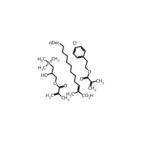 C=C(C)C(=O)OCC(O)C[N+](C)(C)C.C=C(C)C(=O)OCCc1ccccc1.CCCCCCCCCCCCCCCCCCC=C(C)C(=O)O.[Cl-]